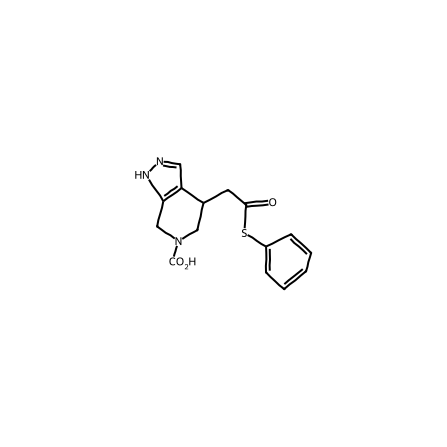 O=C(CC1CN(C(=O)O)Cc2[nH]ncc21)Sc1ccccc1